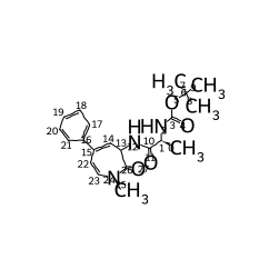 C[C@H](NC(=O)OC(C)(C)C)C(=O)NC1C=C(c2ccccc2)C=CN(C)C1=O